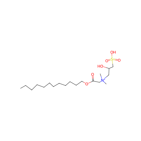 CCCCCCCCCCCCOC(=O)C[N+](C)(C)CC(O)CS(=O)(=O)O